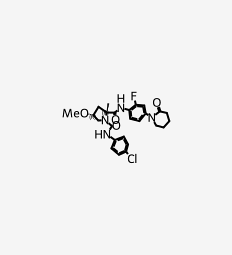 CO[C@H]1CN(C(=O)Nc2ccc(Cl)cc2)[C@@](C)(C(=O)Nc2ccc(N3CCCCC3=O)cc2F)C1